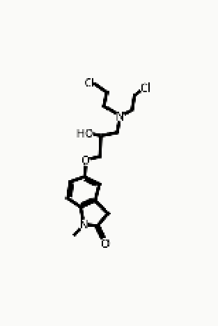 CN1C(=O)Cc2cc(OCC(O)CN(CCCl)CCCl)ccc21